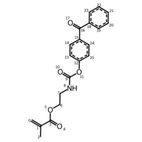 C=C(C)C(=O)OCCNC(=O)Oc1ccc(C(=O)c2ccccc2)cc1